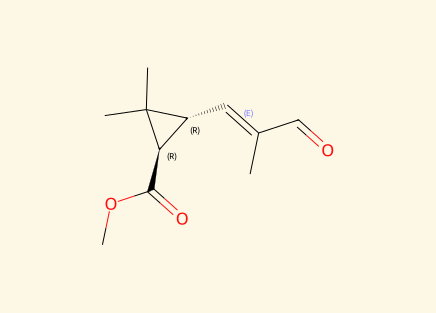 COC(=O)[C@@H]1[C@@H](/C=C(\C)C=O)C1(C)C